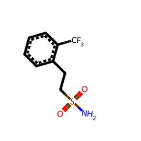 NS(=O)(=O)CCc1ccccc1C(F)(F)F